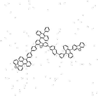 c1ccc(-c2c3ccccc3c(-c3ccc(-c4ccc(-c5ccc(-c6c7ccccc7c(-c7cccc8oc9ccccc9c78)c7ccccc67)cc5)cc4)c4oc5cc(-c6ccc7cc(-c8cccc(-c9c%10ccccc%10c(-c%10ccc%11c(c%10)oc%10ccccc%10%11)c%10ccccc9%10)c8)ccc7c6)ccc5c34)c3ccccc23)cc1